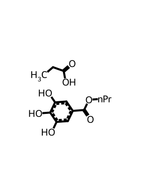 CCC(=O)O.CCCOC(=O)c1cc(O)c(O)c(O)c1